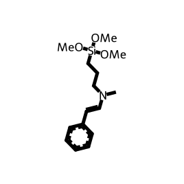 CO[Si](CCCN(C)C=Cc1ccccc1)(OC)OC